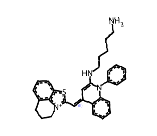 NCCCCCNC1=C/C(=C\c2sc3cccc4c3[n+]2CCC4)c2ccccc2N1c1ccccc1